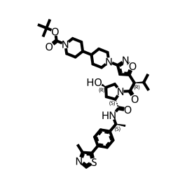 Cc1ncsc1-c1ccc([C@H](C)NC(=O)[C@@H]2C[C@@H](O)CN2C(=O)[C@@H](c2cc(N3CCC(C4CCN(C(=O)OC(C)(C)C)CC4)CC3)no2)C(C)C)cc1